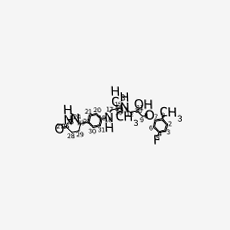 Cc1ccc(F)cc1OCC(O)CNC(C)(C)CNc1ccc(C2=NNC(=O)CC2)cc1